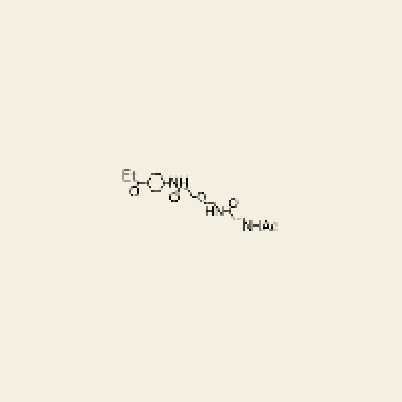 CCC(=O)[C@H]1CC[C@@H](NC(=O)CCOCCNC(=O)CCNC(C)=O)CC1